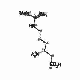 CNC(=N)NCCC[C@@H](N)CC(=O)O